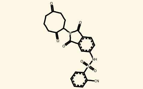 N#Cc1ccccc1S(=O)(=O)Nc1ccc2c(c1)C(=O)N(C1CCC(=O)CCCC1=O)C2=O